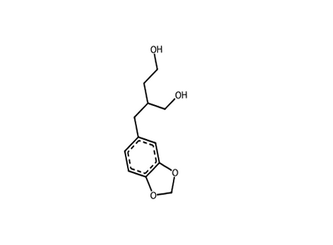 OCCC(CO)Cc1ccc2c(c1)OCO2